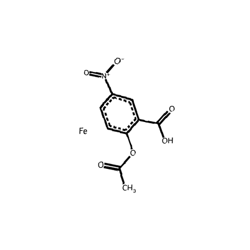 CC(=O)Oc1ccc([N+](=O)[O-])cc1C(=O)O.[Fe]